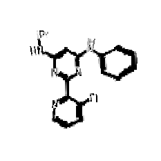 CC(C)Nc1cc(Nc2ccccc2)nc(-c2ncccc2Cl)n1